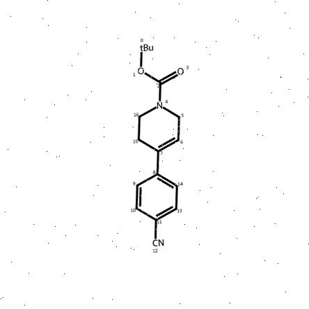 CC(C)(C)OC(=O)N1CC=C(c2ccc(C#N)cc2)CC1